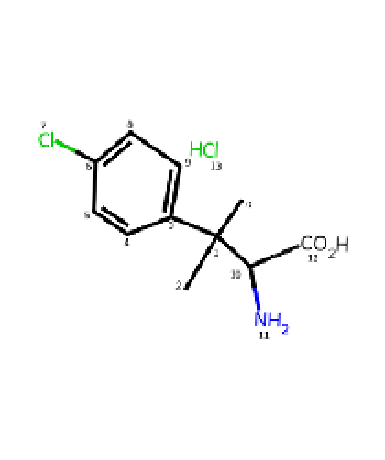 CC(C)(c1ccc(Cl)cc1)C(N)C(=O)O.Cl